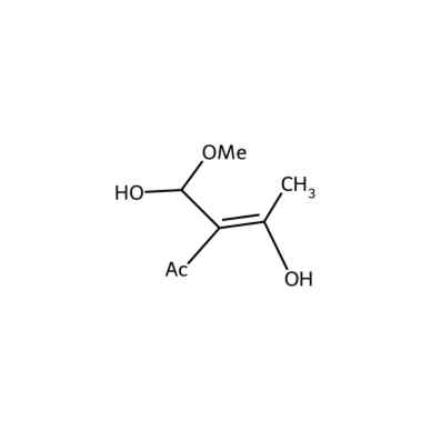 COC(O)/C(C(C)=O)=C(\C)O